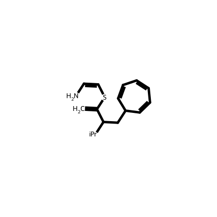 C=C(S/C=C\N)C(CC1C=CC=CC=C1)C(C)C